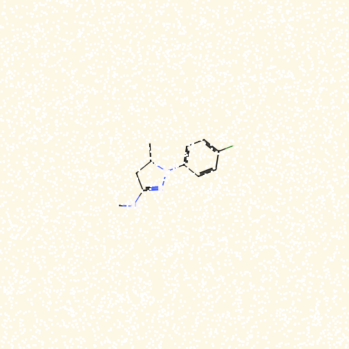 CCNC1=NN(c2ccc(Cl)cc2)C(C)C1